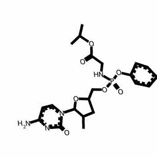 CC(C)OC(=O)CNP(=O)(OCC1CC(C)C(n2ccc(N)nc2=O)O1)Oc1ccccc1